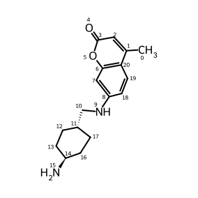 Cc1cc(=O)oc2cc(NC[C@H]3CC[C@H](N)CC3)ccc12